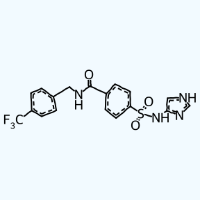 O=C(NCc1ccc(C(F)(F)F)cc1)c1ccc(S(=O)(=O)Nc2c[nH]cn2)cc1